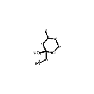 CC(C)CC1(O)CC(C)CCO1